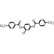 O=C(O)c1ccc(C(=O)Oc2ccc(OC(=O)c3ccc(C(=O)O)cc3)c(Cl)c2)cc1